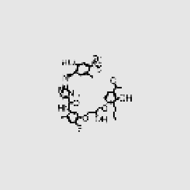 CCCc1c(OCC(O)COc2cc(NC(=O)c3nnn[nH]3)c(C)cc2F)ccc(C(C)=O)c1O.Cc1cc(C#N)c(O)cc1[N+](=O)[O-]